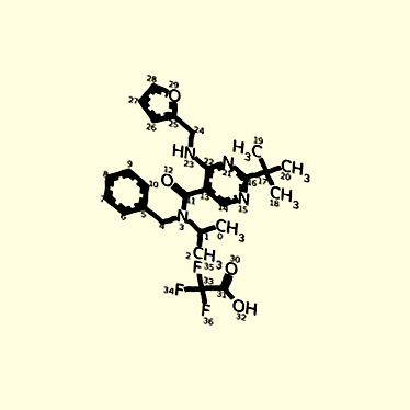 CC(C)N(Cc1ccccc1)C(=O)c1cnc(C(C)(C)C)nc1NCc1ccco1.O=C(O)C(F)(F)F